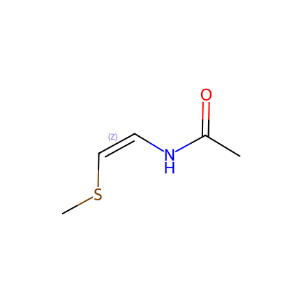 CS/C=C\NC(C)=O